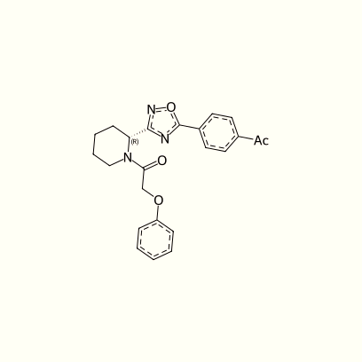 CC(=O)c1ccc(-c2nc([C@H]3CCCCN3C(=O)COc3ccccc3)no2)cc1